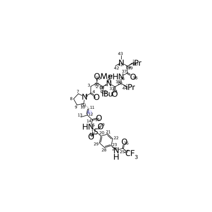 CC[C@H](C)[C@@H]([C@@H](CC(=O)N1CCC[C@H]1/C=C(\C)C(=O)NS(=O)(=O)c1ccc(NC(=O)C(F)(F)F)cc1)OC)N(C)C(=O)[C@@H](NC(=O)[C@H](C(C)C)N(C)C)C(C)C